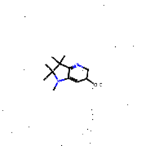 CN1C2=CC(C=O)CN=C2C(C)(C)C1(C)C